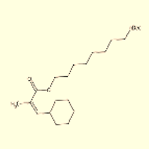 CCCCCCCCCCCCCCCCCCOC(=O)C(C)=CC1CCCCC1